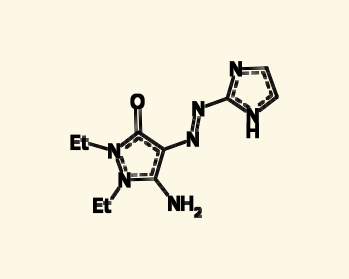 CCn1c(N)c(N=Nc2ncc[nH]2)c(=O)n1CC